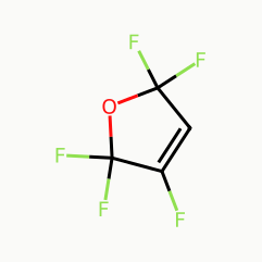 FC1=CC(F)(F)OC1(F)F